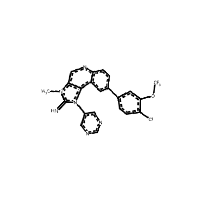 Cn1c(=N)n(-c2cncnc2)c2c3cc(-c4ccc(Cl)c(OC(F)(F)F)c4)ccc3ncc21